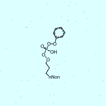 CCCCCCCCCCCCOOP(=O)(O)OOc1ccccc1